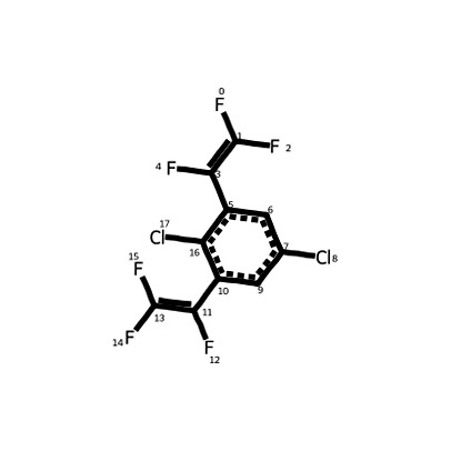 FC(F)=C(F)c1cc(Cl)cc(C(F)=C(F)F)c1Cl